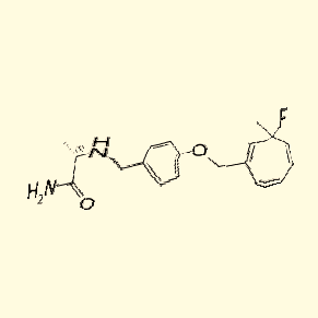 C[C@H](NCc1ccc(OCC2=CC(C)(F)C=CC=C2)cc1)C(N)=O